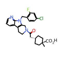 C[C@]1(C(=O)O)CC[C@H](CC(=O)N2CCc3c(n(Cc4ccc(Cl)cc4F)c4ncccc34)C2)CC1